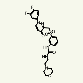 O=C(NCCN1CCOCC1)Nc1cccc(S(=O)(=O)Cc2nn(-c3ccc(F)c(F)c3)ccc2=O)c1